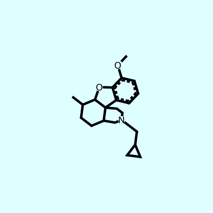 COc1cccc2c1OC1C(C)CCC3CN(CC4CC4)CCC231